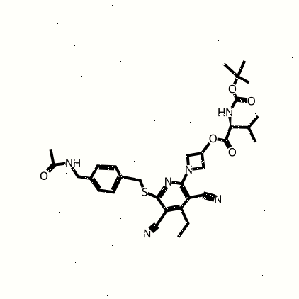 CCc1c(C#N)c(SCc2ccc(CNC(C)=O)cc2)nc(N2CC(OC(=O)[C@@H](NC(=O)OC(C)(C)C)C(C)C)C2)c1C#N